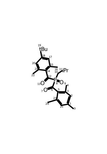 Cc1cc(C)c(C(=O)P(=O)(CC(C)C)C(=O)c2c(C)cc(C(C)(C)C)cc2C)c(C)c1